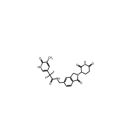 Cc1cc(C(F)(F)C(=O)NCc2ccc3c(c2)CN(C2CCC(=O)NC2=O)C3=O)c[nH]c1=O